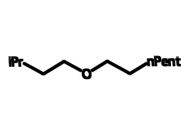 CCCCCCCOCCC(C)C